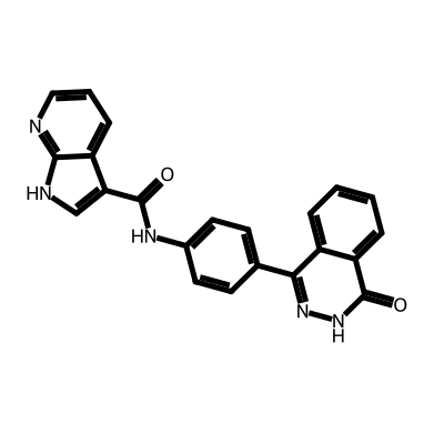 O=C(Nc1ccc(-c2n[nH]c(=O)c3ccccc23)cc1)c1c[nH]c2ncccc12